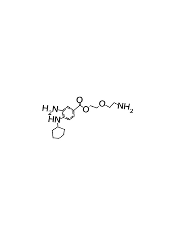 NCCOCCOC(=O)c1ccc(NC2CCCCC2)c(N)c1